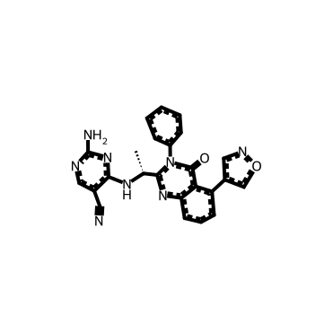 C[C@@H](Nc1nc(N)ncc1C#N)c1nc2cccc(-c3cnoc3)c2c(=O)n1-c1ccccc1